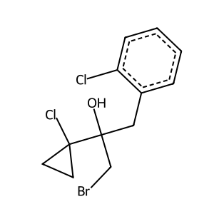 OC(CBr)(Cc1ccccc1Cl)C1(Cl)CC1